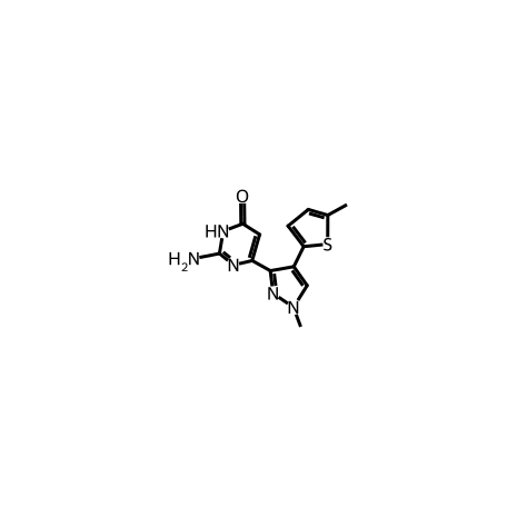 Cc1ccc(-c2cn(C)nc2-c2cc(=O)[nH]c(N)n2)s1